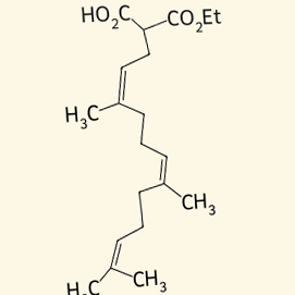 CCOC(=O)C(CC=C(C)CCC=C(C)CCC=C(C)C)C(=O)O